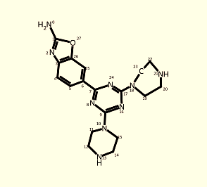 Nc1nc2ccc(-c3nc(N4CCNCC4)nc(N4CCNCC4)n3)cc2o1